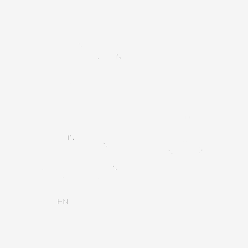 CCC1(n2nc(Nc3ccc(C(=O)N4CCCC4)c(C)c3)c3c(=O)[nH]ccc32)CCN(C(=O)O)CC1